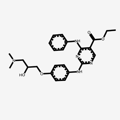 CCOC(=O)c1cnc(Nc2ccc(OCC(O)CN(C)C)cc2)nc1Nc1ccccc1